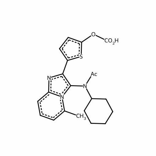 CC(=O)N(c1c(-c2ccc(OC(=O)O)s2)nc2cccc(C)n12)C1CCCCC1